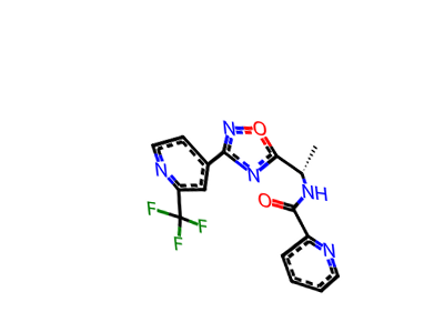 C[C@H](NC(=O)c1ccccn1)c1nc(-c2ccnc(C(F)(F)F)c2)no1